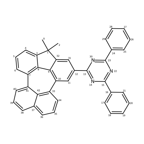 CC1(C)c2cccc3c2-c2c(cc(-c4nc(-c5ccccc5)nc(-c5ccccc5)n4)cc21)-c1cccc2cccc-3c12